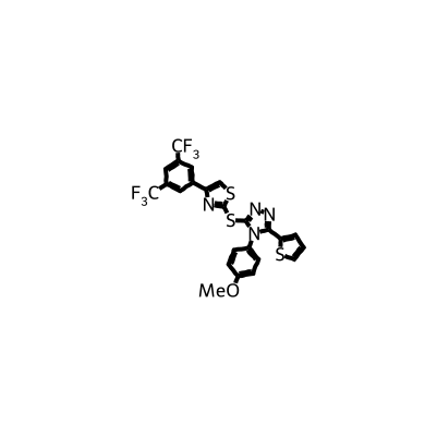 COc1ccc(-n2c(Sc3nc(-c4cc(C(F)(F)F)cc(C(F)(F)F)c4)cs3)nnc2-c2cccs2)cc1